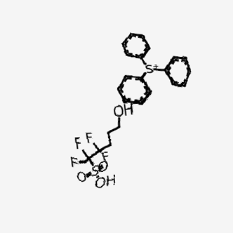 O=S(=O)(O)C(F)(F)C(F)(F)CCCO.c1ccc([S+](c2ccccc2)c2ccccc2)cc1